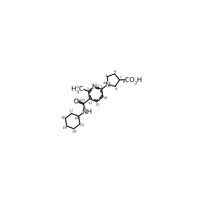 Cc1nc(N2CCC(C(=O)O)C2)ccc1C(=O)NC1CCCCC1